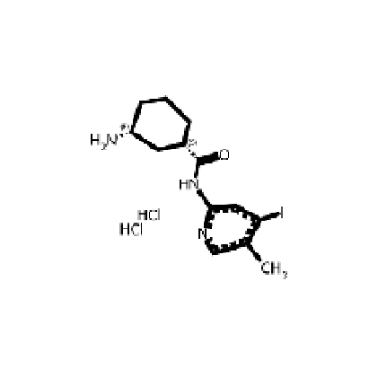 Cc1cnc(NC(=O)[C@H]2CCC[C@@H](N)C2)cc1I.Cl.Cl